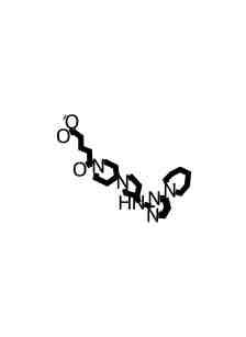 COC(=O)CCCC(=O)N1CCC(N2CCC(Nc3nccc(N4CCCCCC4)n3)C2)CC1